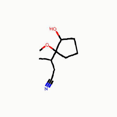 COC1(C(C)CC#N)CCCC1O